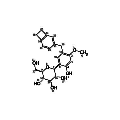 COc1cc(O)c([C@@H]2O[C@H](CO)[C@@H](O)[C@H](O)[C@H]2O)cc1Cc1ccc2c(c1)CC2